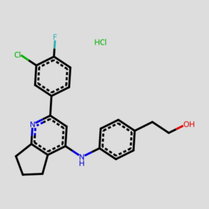 Cl.OCCc1ccc(Nc2cc(-c3ccc(F)c(Cl)c3)nc3c2CCC3)cc1